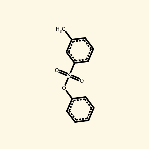 Cc1cccc(S(=O)(=O)Oc2ccccc2)c1